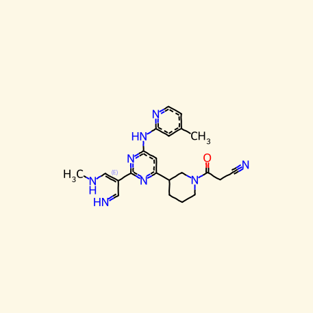 CN/C=C(\C=N)c1nc(Nc2cc(C)ccn2)cc(C2CCCN(C(=O)CC#N)C2)n1